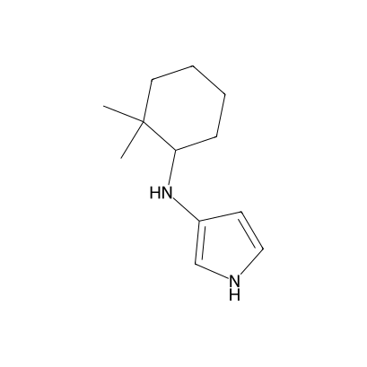 CC1(C)CCCCC1Nc1cc[nH]c1